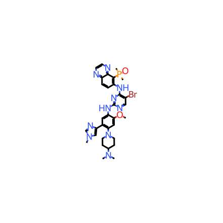 COc1cc(N2CCC(N(C)C)CC2)c(-c2cn(C)cn2)cc1Nc1ncc(Br)c(Nc2ccc3nccnc3c2P(C)(C)=O)n1